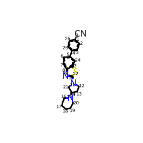 N#Cc1ccc(-c2ccc3nc(N4CC[C@@H](N5CCCCC5)C4)sc3c2)cc1